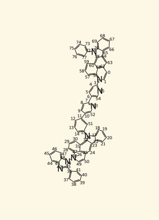 C1=CN(c2ccc(-c3ccc(-c4cccc(-n5c6ccccc6c6cc7c8c(cccc8c65)N(n5c(-c6ccccc6)nc6ccccc65)C=C7)c4)cn3)cn2)c2cccc3c2c1cc1c2ccccc2n(-c2ccccc2)c31